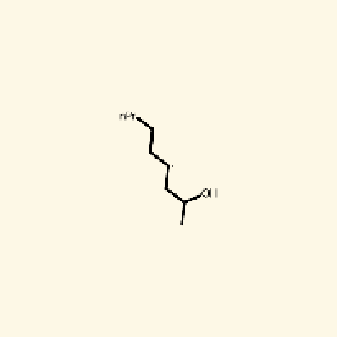 CCCCC[CH]CC(C)O